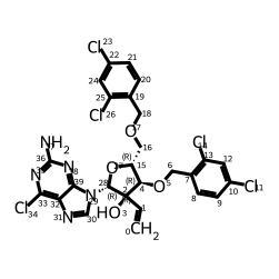 C=C[C@@]1(O)[C@H](OCc2ccc(Cl)cc2Cl)[C@@H](COCc2ccc(Cl)cc2Cl)O[C@H]1n1cnc2c(Cl)nc(N)nc21